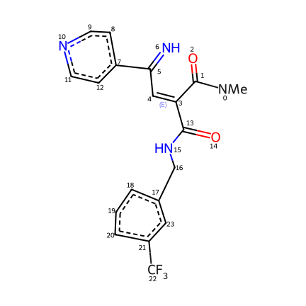 CNC(=O)/C(=C\C(=N)c1ccncc1)C(=O)NCc1cccc(C(F)(F)F)c1